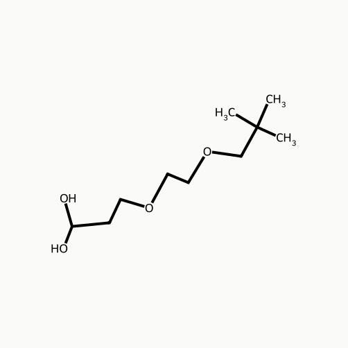 CC(C)(C)COCCOCCC(O)O